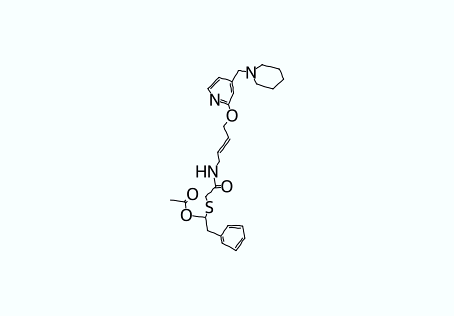 CC(=O)OC(Cc1ccccc1)SCC(=O)NCC=CCOc1cc(CN2CCCCC2)ccn1